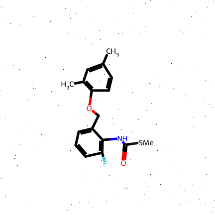 CSC(=O)Nc1c(F)cccc1COc1ccc(C)cc1C